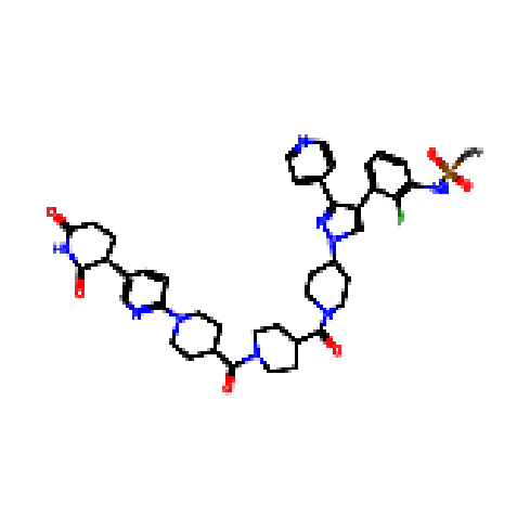 CCCS(=O)(=O)Nc1cccc(-c2cn(C3CCN(C(=O)C4CCN(C(=O)C5CCN(c6ccc([C@@H]7CCC(=O)NC7=O)cn6)CC5)CC4)CC3)nc2-c2ccncc2)c1F